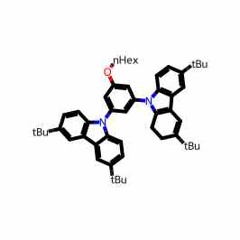 CCCCCCOc1cc(-n2c3c(c4cc(C(C)(C)C)ccc42)C=C(C(C)(C)C)CC3)cc(-n2c3ccc(C(C)(C)C)cc3c3cc(C(C)(C)C)ccc32)c1